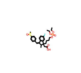 CCOP(=O)(OCC)OCCCCC1(CC(=O)O)c2cc(F)ccc2C(=Cc2ccc([S+](C)[O-])cc2)C1C